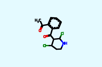 CC(=O)c1ccccc1C(=O)C1C(Cl)CCNC1Cl